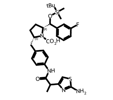 CC(C(=O)Nc1ccc(C[C@@H]2CC[C@H](C(O[Si](C)(C)C(C)(C)C)c3cccc(F)c3)N2C(=O)O)cc1)c1csc(N)n1